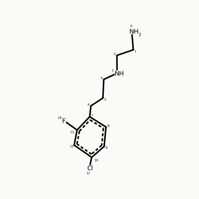 NCCNCCCc1ccc(Cl)cc1F